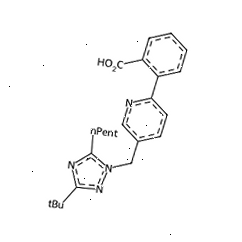 CCCCCc1nc(C(C)(C)C)nn1Cc1ccc(-c2ccccc2C(=O)O)nc1